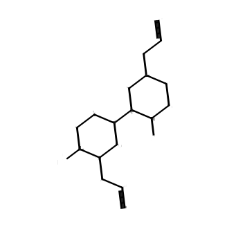 C=CCC1CCC(O)C(C2CCC(O)C(CC=C)C2)C1